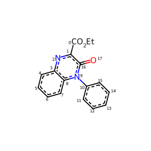 CCOC(=O)c1nc2ccccc2n(-c2ccccc2)c1=O